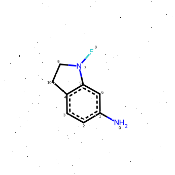 Nc1ccc2c(c1)N(F)CC2